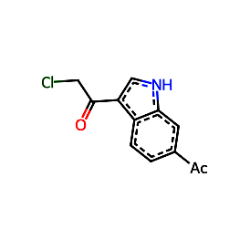 CC(=O)c1ccc2c(C(=O)CCl)c[nH]c2c1